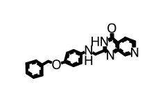 O=c1[nH]c(CNc2ccc(OCc3ccccc3)cc2)nc2cnccc12